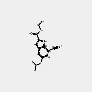 CCOC(=O)c1cc2cc(OC(C)C)cc(C#N)c2s1